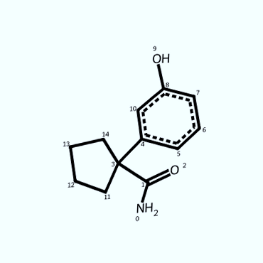 NC(=O)C1(c2cccc(O)c2)CCCC1